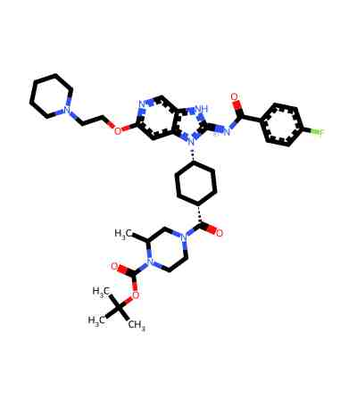 CC1CN(C(=O)[C@H]2CC[C@@H](n3/c(=N/C(=O)c4ccc(F)cc4)[nH]c4cnc(OCCN5CCCCC5)cc43)CC2)CCN1C(=O)OC(C)(C)C